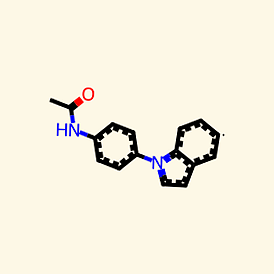 CC(=O)Nc1ccc(-n2ccc3c[c]ccc32)cc1